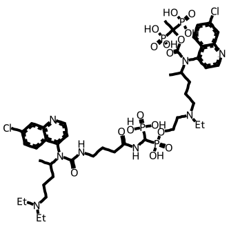 CCN(CC)CCCC(C)N(C(=O)NCCCC(=O)NC(P(=O)(O)O)P(=O)(O)OCCN(CC)CCCC(C)N(C(=O)OC(C)(P(=O)(O)O)P(=O)(O)O)c1ccnc2cc(Cl)ccc12)c1ccnc2cc(Cl)ccc12